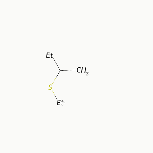 C[CH]SC(C)CC